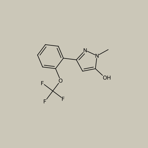 Cn1nc(-c2ccccc2OC(F)(F)F)cc1O